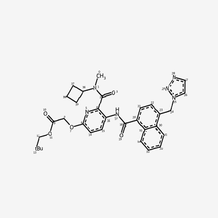 CN(C(=O)c1nc(OCC(=O)OCC(C)(C)C)ccc1NC(=O)c1ccc(Cn2ccnn2)c2ccccc12)C1CCC1